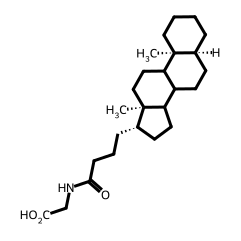 C[C@]12CCC3C(CC[C@@H]4CCCC[C@]34C)C1CC[C@@H]2CCCC(=O)NCC(=O)O